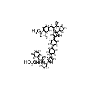 CN(C)c1ccc(/C=C/C(=O)N2CCC[C@H]2c2ncc(-c3ccc(-c4ccc(-c5cnc([C@@H]6CCCN6C(=O)[C@H](NC(=O)O)c6ccccc6)[nH]5)cc4)cc3)[nH]2)cc1